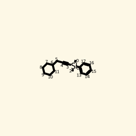 C[Si](C)(C#CCC1CCCCC1)c1ccccc1